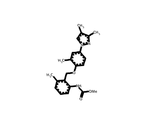 COC(=O)Nc1cccc(C)c1COc1ccc(-n2cc(C)c(C)n2)cc1C